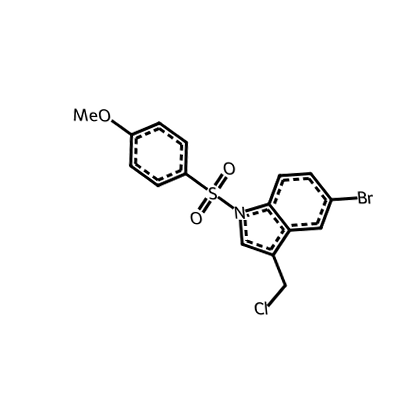 COc1ccc(S(=O)(=O)n2cc(CCl)c3cc(Br)ccc32)cc1